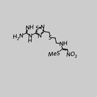 CS/C(=C\[N+](=O)[O-])NCCSCc1nsc(NC(=N)N)n1